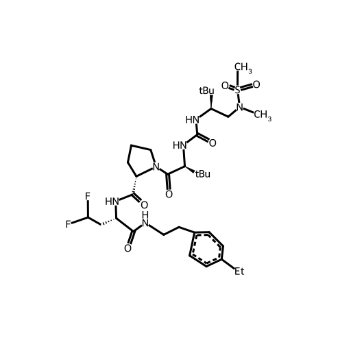 CCc1ccc(CCNC(=O)[C@H](CC(F)F)NC(=O)[C@@H]2CCCN2C(=O)[C@@H](NC(=O)N[C@H](CN(C)S(C)(=O)=O)C(C)(C)C)C(C)(C)C)cc1